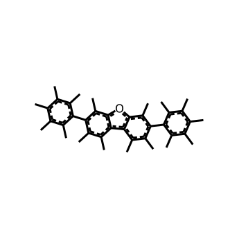 Cc1c(C)c(C)c(-c2c(C)c(C)c3c(oc4c(C)c(-c5c(C)c(C)c(C)c(C)c5C)c(C)c(C)c43)c2C)c(C)c1C